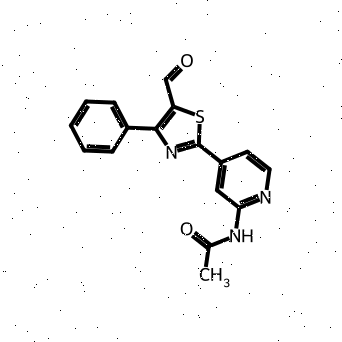 CC(=O)Nc1cc(-c2nc(-c3ccccc3)c(C=O)s2)ccn1